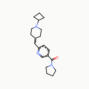 O=C(c1ccc(C=C2CCN(C3CCC3)CC2)nc1)N1CCCC1